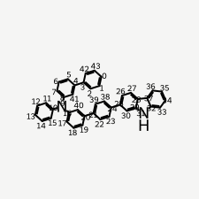 c1ccc(-c2cccc(N(c3ccccc3)c3cccc(-c4ccc(-c5ccc6c(c5)[nH]c5ccccc56)cc4)c3)c2)cc1